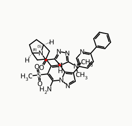 CN(C)c1nnc(C(=O)N2[C@@H]3CC[C@H]2CC(c2nc4c(-c5ccc(-c6ccccc6)nc5)cnn4c(N)c2S(C)(=O)=O)C3)[nH]1